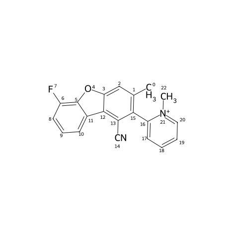 Cc1cc2oc3c(F)cccc3c2c(C#N)c1-c1cccc[n+]1C